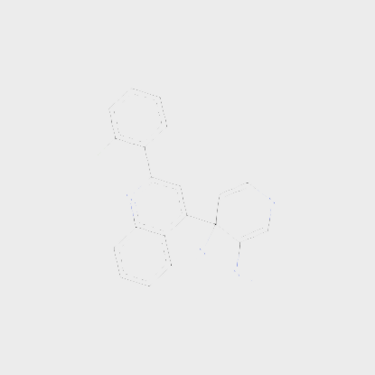 NC1=CNC=CC1(N)c1cc(-c2ccccc2F)nc2ccccc12